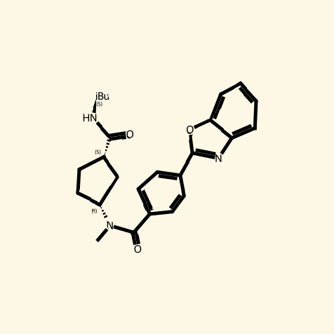 CC[C@H](C)NC(=O)[C@H]1CC[C@@H](N(C)C(=O)c2ccc(-c3nc4ccccc4o3)cc2)C1